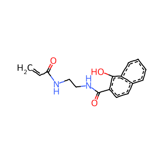 C=CC(=O)NCCNC(=O)c1ccc2ccccc2c1O